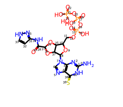 Nc1nc2c(ncn2C2OC(COP(=O)(O)OP(=O)(O)OP(=O)(O)O)C3OC(C(=O)Nc4cc[nH]n4)OC32)c(=S)[nH]1